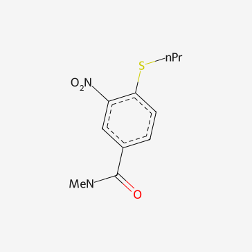 CCCSc1ccc(C(=O)NC)cc1[N+](=O)[O-]